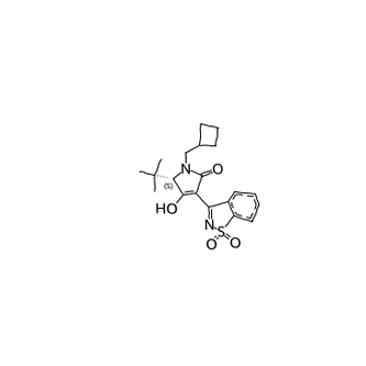 CC(C)(C)[C@H]1C(O)=C(C2=NS(=O)(=O)c3ccccc32)C(=O)N1CC1CCC1